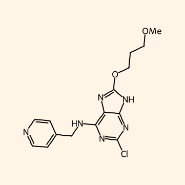 COCCCOc1nc2c(NCc3ccncc3)nc(Cl)nc2[nH]1